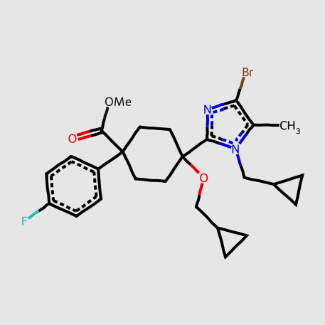 COC(=O)C1(c2ccc(F)cc2)CCC(OCC2CC2)(c2nc(Br)c(C)n2CC2CC2)CC1